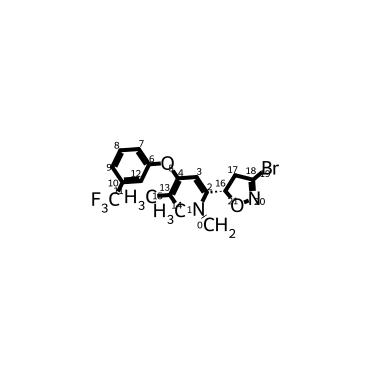 C=N/C(=C\C(Oc1cccc(C(F)(F)F)c1)=C(C)C)[C@@H]1CC(Br)=NO1